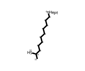 CCCCCCCCCCCCCCCCC(C)S